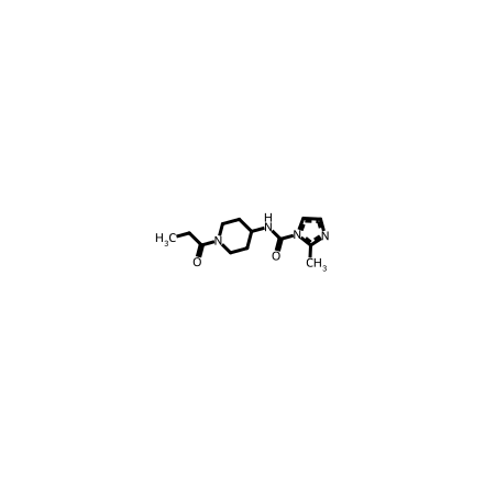 CCC(=O)N1CCC(NC(=O)n2ccnc2C)CC1